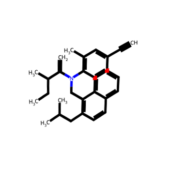 C#Cc1ccc(N(Cc2c(CC(C)C)ccc3ccccc23)C(=C)C(C)CC)c(C)c1